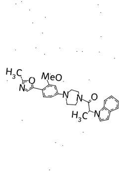 COc1cc(N2CCN(C(=O)C(C)n3ccc4ccccc43)CC2)ccc1-c1cnc(C)o1